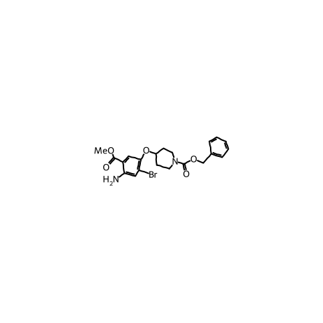 COC(=O)c1cc(OC2CCN(C(=O)OCc3ccccc3)CC2)c(Br)cc1N